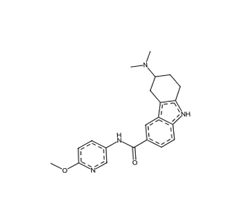 COc1ccc(NC(=O)c2ccc3[nH]c4c(c3c2)CC(N(C)C)CC4)cn1